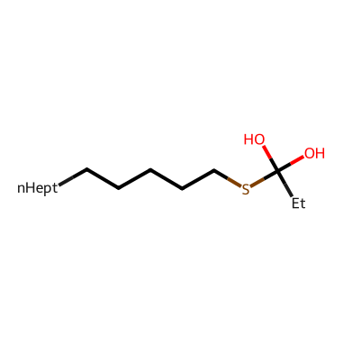 CCCCCCCCCCCCSC(O)(O)CC